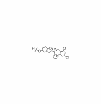 COc1ccc2oc(C3NCc4c(Cl)cc(Cl)cc4-n4cccc43)cc2c1